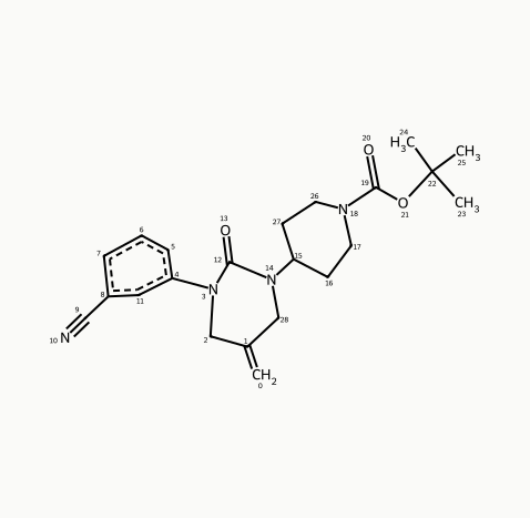 C=C1CN(c2cccc(C#N)c2)C(=O)N(C2CCN(C(=O)OC(C)(C)C)CC2)C1